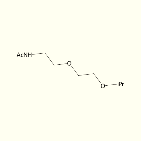 CC(=O)NCCOCCOC(C)C